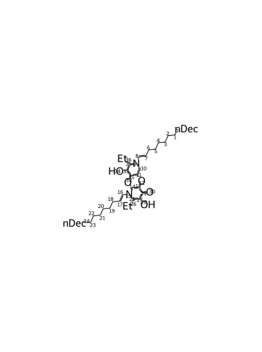 CCCCCCCCCCCCCCCCC=Cn1cc(Oc2cn(C=CCCCCCCCCCCCCCCCC)c(CC)c(O)c2=O)c(=O)c(O)c1CC